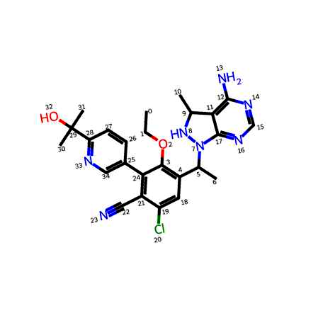 CCOc1c(C(C)N2NC(C)c3c(N)ncnc32)cc(Cl)c(C#N)c1-c1ccc(C(C)(C)O)nc1